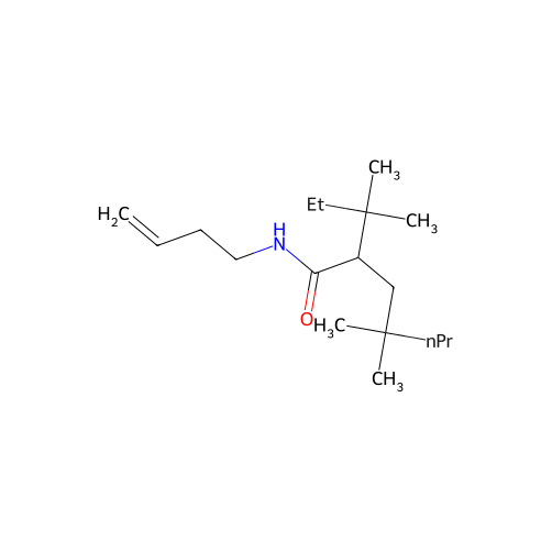 C=CCCNC(=O)C(CC(C)(C)CCC)C(C)(C)CC